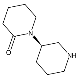 O=C1CCCCN1[C@@H]1CCCNC1